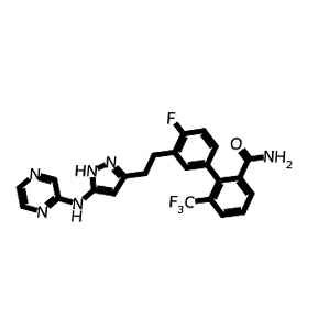 NC(=O)c1cccc(C(F)(F)F)c1-c1ccc(F)c(CCc2cc(Nc3cnccn3)[nH]n2)c1